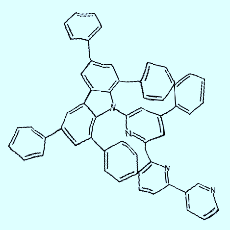 c1ccc(-c2cc(-c3cccc(-c4cccnc4)n3)nc(-n3c4c(-c5ccccc5)cc(-c5ccccc5)cc4c4cc(-c5ccccc5)cc(-c5ccccc5)c43)c2)cc1